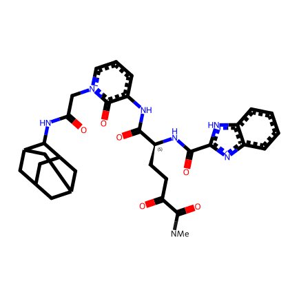 CNC(=O)C(=O)CC[C@H](NC(=O)c1nc2ccccc2[nH]1)C(=O)Nc1cccn(CC(=O)NC2C3CC4CC(C3)CC2C4)c1=O